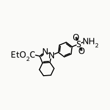 CCOC(=O)c1nn(-c2ccc(S(N)(=O)=O)cc2)c2c1CCCC2